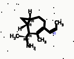 C/C=C\C1=C(C)[C@@H]([C@@H](C)N)[C@@H]2C[C@@H]2CC1